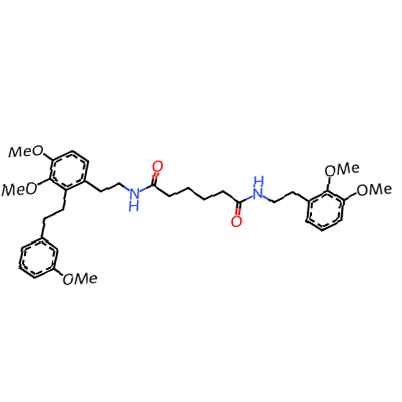 COc1cccc(CCc2c(CCNC(=O)CCCCC(=O)NCCc3cccc(OC)c3OC)ccc(OC)c2OC)c1